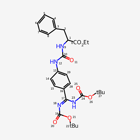 CCOC(=O)C(Cc1ccccc1)NC(=O)Nc1ccc(C(=NC(=O)OC(C)(C)C)NC(=O)OC(C)(C)C)cc1